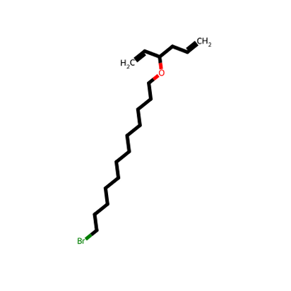 C=CCC(C=C)OCCCCCCCCCCCCBr